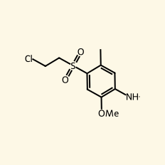 COc1cc(S(=O)(=O)CCCl)c(C)cc1[NH]